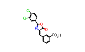 O=C1OC(c2ccc(Cl)c(Cl)c2)=N/C1=C/c1cccc(C(=O)O)c1